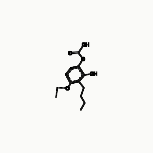 CCCCc1c(OCC)ccc(OC(=O)O)c1O